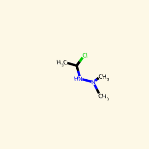 CC(Cl)NN(C)C